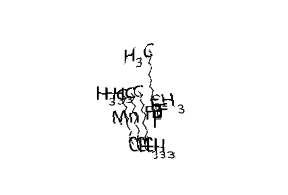 CCCCCCCCCC.CCCCCCCCCC.CCCCCCCCCC.CCCCCCCCCC.F[B-](F)(F)F.[Mn]